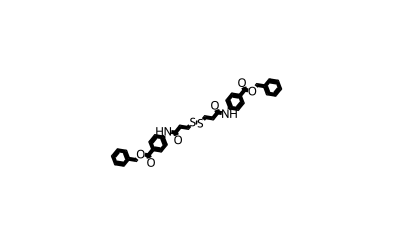 O=C(CCSSCCC(=O)Nc1ccc(C(=O)OCc2ccccc2)cc1)Nc1ccc(C(=O)OCc2ccccc2)cc1